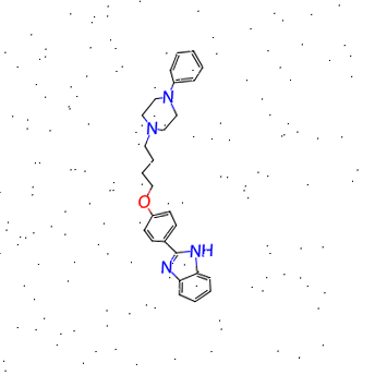 c1ccc(N2CCN(CCCCOc3ccc(-c4nc5ccccc5[nH]4)cc3)CC2)cc1